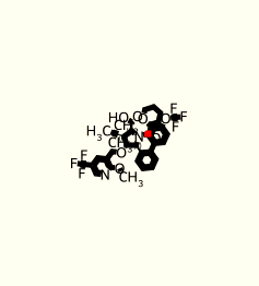 COc1ncc(C(F)(F)F)cc1CO[C@H]1[C@H](C(C)(C)C)[C@@H](C(=O)O)N(C(=O)[C@@H]2CCCCO2)[C@H]1c1ccccc1-c1ccc(OC(F)(F)F)cc1